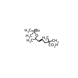 C[C@H](C=CCC(C)(C)C(=O)O)O[Si](C)(C)C(C)(C)C